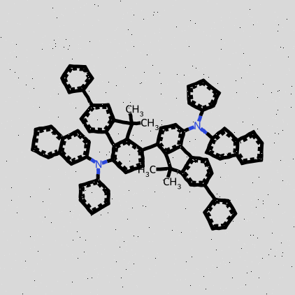 CC1(C)c2cc(-c3ccccc3)ccc2-c2c(N(c3ccccc3)c3ccc4ccccc4c3)ccc(-c3ccc(N(c4ccccc4)c4ccc5ccccc5c4)c4c3C(C)(C)c3cc(-c5ccccc5)ccc3-4)c21